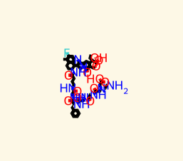 CC[C@@]1(O)C(=O)OCc2c1cc1n(c2=O)Cc2c-1nc1cc(F)c(C)c3c1c2[C@@H](NC(=O)CCCNC(=O)CNC(=O)[C@H](Cc1ccccc1)NC(=O)CNC(=O)CNC(=O)CN(CCN)CC(=O)O)CC3